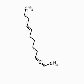 CC=C=CCCCCC=CCCC